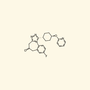 O=C1Cc2cc(F)ccc2-n2c(nnc2[C@H]2CC[C@H](Oc3ccccn3)CC2)C1